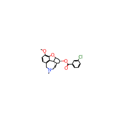 COc1ccc2c3c1OC1C[C@@H](OC(=O)c4cccc(Cl)c4)CC(C)[C@@]31CCN(C)C2